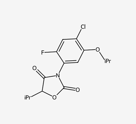 CC(C)Oc1cc(N2C(=O)OC(C(C)C)C2=O)c(F)cc1Cl